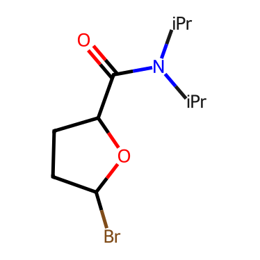 CC(C)N(C(=O)C1CCC(Br)O1)C(C)C